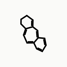 C1=C2C=c3ccccc3=CC=C2CCC1